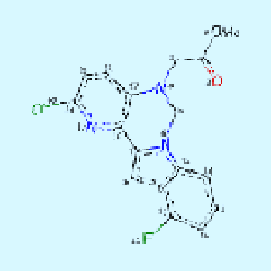 COC(=O)CN1Cn2c(cc3c(F)cccc32)-c2nc(Cl)ccc21